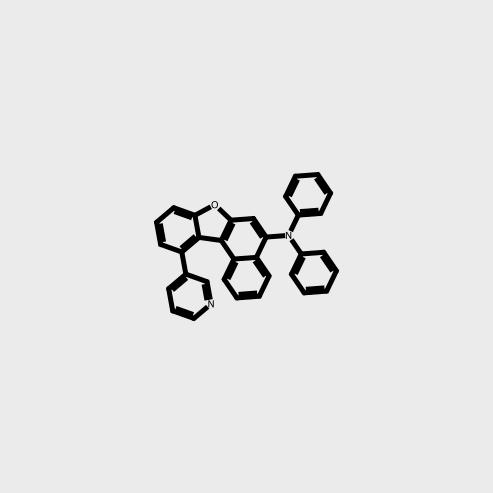 c1ccc(N(c2ccccc2)c2cc3oc4cccc(-c5cccnc5)c4c3c3ccccc23)cc1